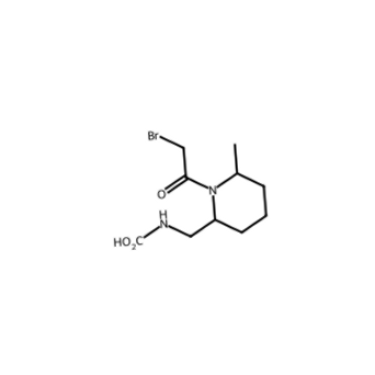 CC1CCCC(CNC(=O)O)N1C(=O)CBr